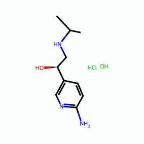 CC(C)NC[C@H](O)c1ccc(N)nc1.Cl.Cl